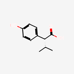 CC(C)[C@@H](C(=O)O)c1ccc(O)cc1